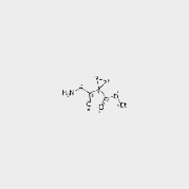 CCOC(=O)C1(C(=O)CN)CC1